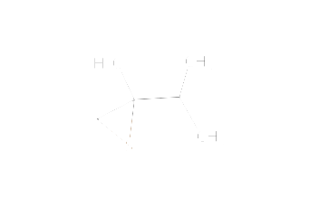 CC(C)C1(C)CS1